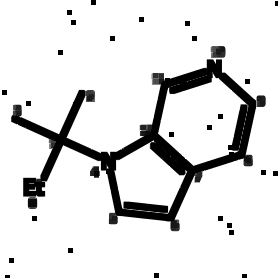 CCC(C)(C)n1ccc2ccncc21